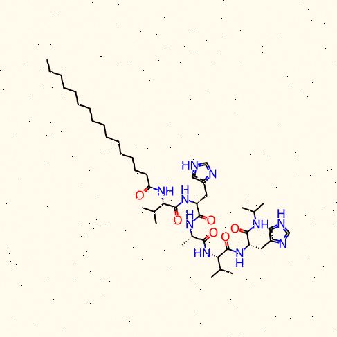 CCCCCCCCCCCCCCCC(=O)N[C@H](C(=O)N[C@@H](Cc1c[nH]cn1)C(=O)N[C@@H](C)C(=O)N[C@H](C(=O)N[C@@H](Cc1c[nH]cn1)C(=O)NC(C)C)C(C)C)C(C)C